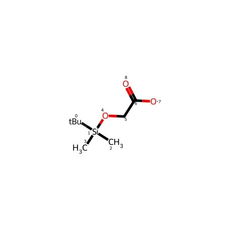 CC(C)(C)[Si](C)(C)OCC([O])=O